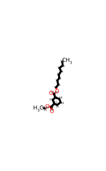 CCCCCCCCCCOC(=O)C1CCCC(C(=O)OCC)C1